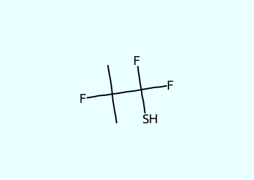 CC(C)(F)C(F)(F)S